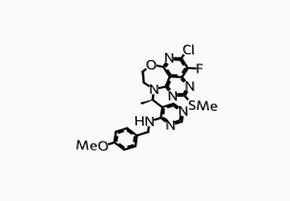 COc1ccc(CNc2ncncc2[C@@H](C)N2CCOc3nc(Cl)c(F)c4nc(SC)nc2c34)cc1